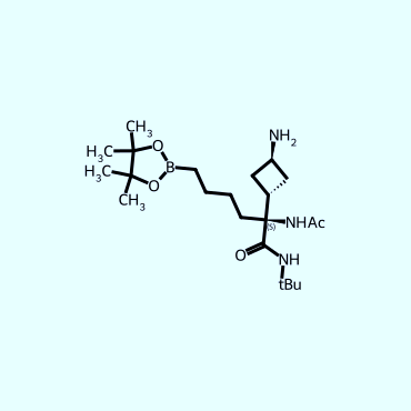 CC(=O)N[C@](CCCCB1OC(C)(C)C(C)(C)O1)(C(=O)NC(C)(C)C)[C@H]1C[C@H](N)C1